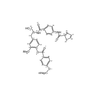 CCCCCCCOc1ccc(C(=O)Oc2ccc(CC(NC(=O)c3ccc(NC(=O)c4nccs4)cc3)C(=O)O)cc2OC)cc1